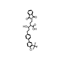 O=C(O)C(CCN1C(=O)c2ccccc2C1=O)C(O)CCc1ccc(-c2ccc(Cl)c(C(F)(F)F)c2)cc1